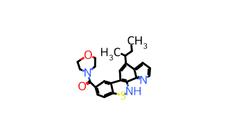 CCC(C)c1cc2c(c3ncccc13)NSc1ccc(C(=O)N3CCOCC3)cc1-2